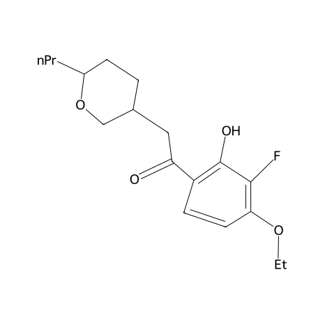 CCCC1CCC(CC(=O)c2ccc(OCC)c(F)c2O)CO1